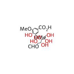 COc1cc(C(=O)O)cc(OC)c1O.O=CC(O)C(O)C(O)C(O)CO